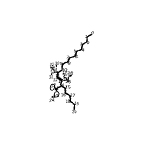 CCCCCCCCCCCC(C=C(C(CCCCCC)C(=O)OC)[Si](C)(C)C)[Si](C)(C)C